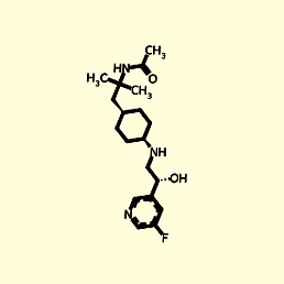 CC(=O)NC(C)(C)C[C@H]1CC[C@@H](NC[C@H](O)c2cncc(F)c2)CC1